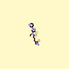 CCN(C(=O)CCCC1CN(C)C1=O)c1cn(-c2cccnc2)nc1Cl